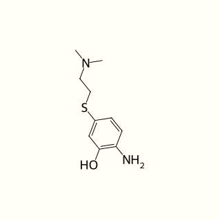 CN(C)CCSc1ccc(N)c(O)c1